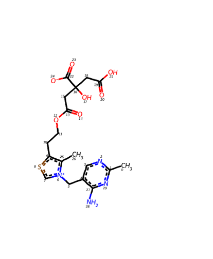 Cc1ncc(C[n+]2csc(CCOC(=O)CC(O)(CC(=O)O)C(=O)[O-])c2C)c(N)n1